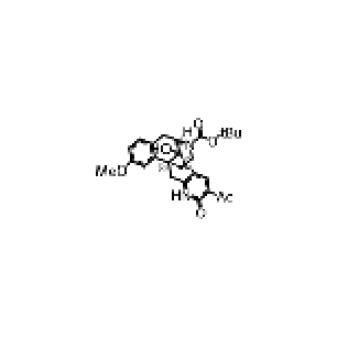 COc1ccc2c(c1)[C@]13CCN(C(=O)OC(C)(C)C)[C@H](C2)[C@]1(O)Cc1cc(C(C)=O)c(=O)[nH]c1C3